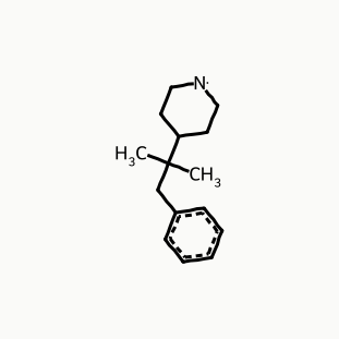 CC(C)(Cc1ccccc1)C1CC[N]CC1